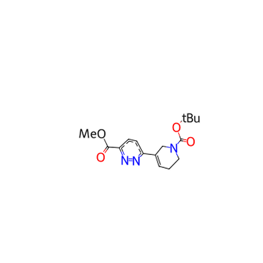 COC(=O)c1ccc(C2=CCCN(C(=O)OC(C)(C)C)C2)nn1